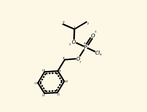 CC(C)OP(=O)(Cl)OCc1ccccc1